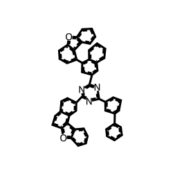 c1ccc(-c2cccc(-c3nc(-c4cc(-c5cccc6oc7ccccc7c56)c5ccccc5c4)nc(-c4ccc5ccc6oc7ccccc7c6c5c4)n3)c2)cc1